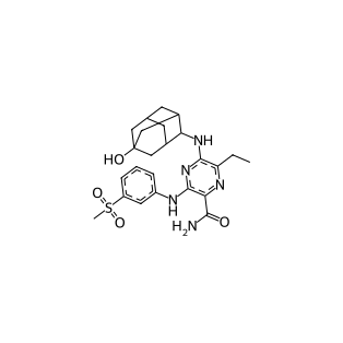 CCc1nc(C(N)=O)c(Nc2cccc(S(C)(=O)=O)c2)nc1NC1C2CC3CC1CC(O)(C3)C2